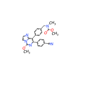 COC(=O)N(C)Cc1ccc(-c2c(-c3ccc(C#N)cc3)nc(OC)n3ccnc23)cc1